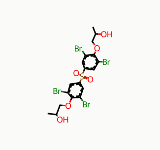 CC(O)COc1c(Br)cc(S(=O)(=O)c2cc(Br)c(OCC(C)O)c(Br)c2)cc1Br